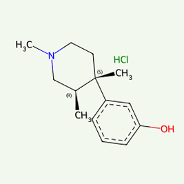 C[C@H]1CN(C)CC[C@]1(C)c1cccc(O)c1.Cl